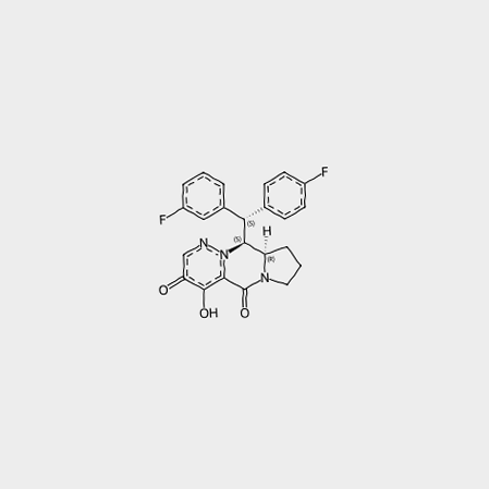 O=C1c2c(O)c(=O)cnn2[C@@H]([C@@H](c2ccc(F)cc2)c2cccc(F)c2)[C@H]2CCCN12